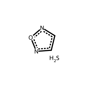 S.c1cnon1